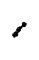 C=C(C)C(=O)OCCCCCCOc1ccc(/C=C/C(=O)Oc2cc[c]cc2C)cc1